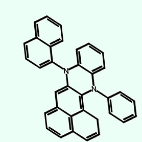 C1=Cc2cccc3cc4c(c(c23)C1)N(c1ccccc1)c1ccccc1N4c1cccc2ccccc12